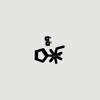 C[CH2][Ti+2]([CH3])([CH3])([CH3])([CH3])([CH3])[C]1=CC=CC1.[Cl-].[Cl-]